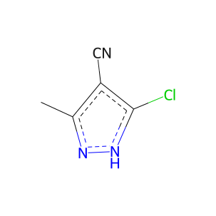 Cc1n[nH]c(Cl)c1C#N